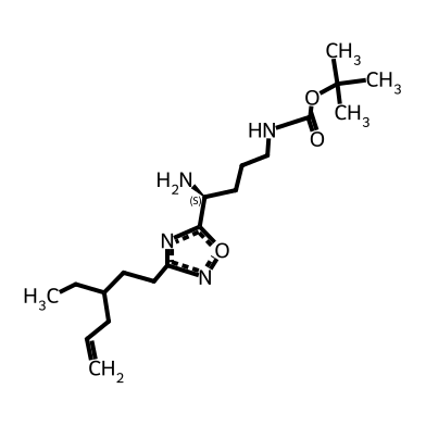 C=CCC(CC)CCc1noc([C@@H](N)CCCNC(=O)OC(C)(C)C)n1